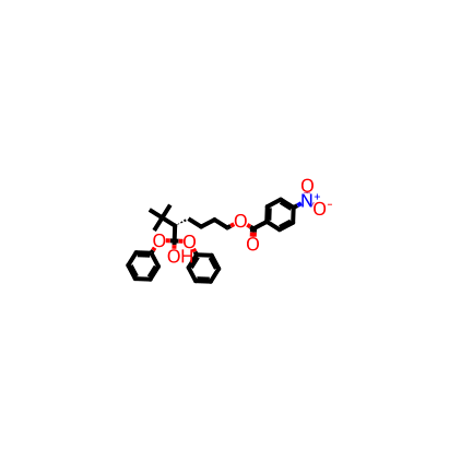 CC(C)(C)[C@H](CCCCOC(=O)c1ccc([N+](=O)[O-])cc1)C(O)(Oc1ccccc1)Oc1ccccc1